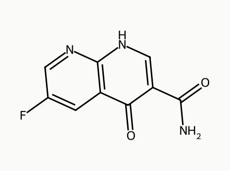 NC(=O)c1c[nH]c2ncc(F)cc2c1=O